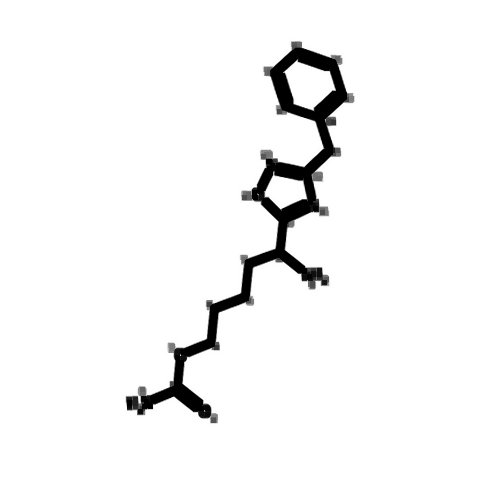 NC(=O)OCCCCC(N)c1nc(Cc2ccccc2)no1